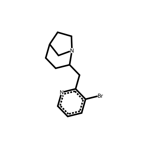 Brc1cccnc1CC1CCC2CCN1C2